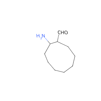 NC1CCCCCCCC1C=O